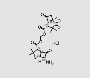 CC1(C)S[C@@H]2[C@@H](N)C(=O)N2[C@H]1C(=O)OCOC(=O)[C@@H]1N2C(=O)C[C@H]2S(=O)(=O)C1(C)C.Cl